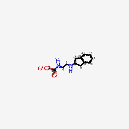 O=C(O)NCCNC1Cc2ccccc2C1